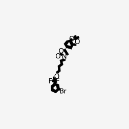 CC1(C)OCc2cc([C@@H]3CN(CCCCCCOCC(F)(F)c4cccc(Br)c4)C(=O)O3)ccc2O1